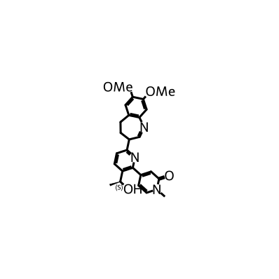 COc1cc2c(cc1OC)N=CC(c1ccc([C@H](C)O)c(-c3ccn(C)c(=O)c3)n1)CC2